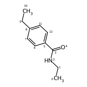 CCNC(=O)c1ccc(CC)cc1